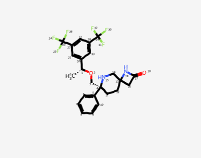 C[C@@H](OC[C@@]1(c2ccccc2)CCC2(CN1)CC(=O)N2)c1cc(C(F)(F)F)cc(C(F)(F)F)c1